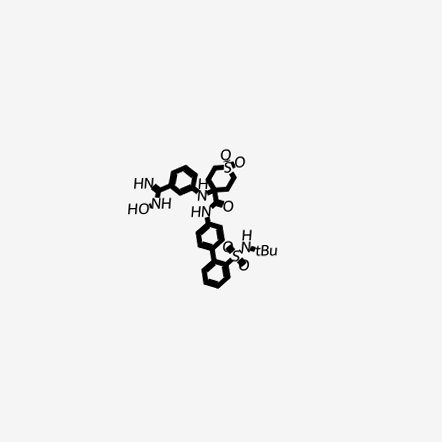 CC(C)(C)NS(=O)(=O)c1ccccc1-c1ccc(NC(=O)C2(Nc3cccc(C(=N)NO)c3)CCS(=O)(=O)CC2)cc1